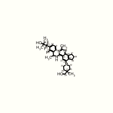 Cc1nc(NC(C)c2cccc(C(F)(F)C(C)(C)O)c2F)c2cc(N3CCC(C)(CO)CC3)c3c(c2n1)CCC3